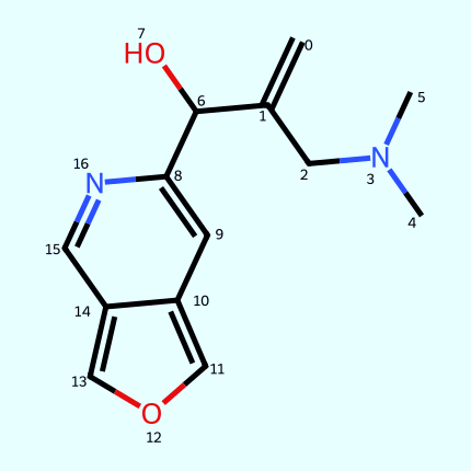 C=C(CN(C)C)C(O)c1cc2cocc2cn1